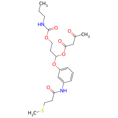 CCCNC(=O)OCCC(OC(=O)CC(C)=O)Oc1cccc(NC(=O)CCSC)c1